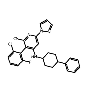 Fc1cccc(Cl)c1-c1c(NC2CCC(c3ccccc3)CC2)cc(-n2cccn2)nc1Cl